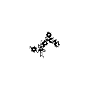 Nc1c(Oc2ccc(F)cc2)ncn(C[C@@]2(O)CCN(C(=O)[C@@H]3CCN(Cc4ccncn4)C[C@H]3c3ccccc3)CC2(F)F)c1=O